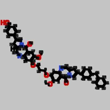 COc1cc2c(cc1OCCCOc1cc3c(cc1OC)C(=O)N1C=C(c4ccc(O)cc4)C[C@H]1C=N3)N=CC1CC(c3ccc(Cc4ccccc4)cc3)=CN1C2=O